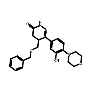 N#Cc1cc(C2=NNC(=O)CC2COCc2ccccc2)ccc1N1CCOCC1